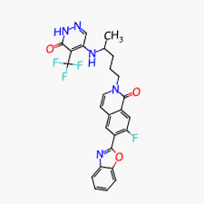 CC(CCCn1ccc2cc(-c3nc4ccccc4o3)c(F)cc2c1=O)Nc1cn[nH]c(=O)c1C(F)(F)F